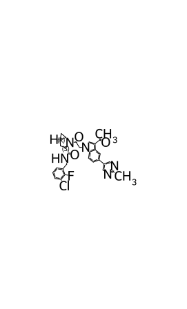 CC(=O)c1cn(CC(=O)N2C3C[C@@H]3C[C@H]2C(=O)NCc2cccc(Cl)c2F)c2ccc(-c3cnc(C)nc3)cc12